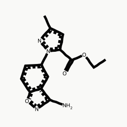 CCOC(=O)c1cc(C)nn1-c1ccc2onc(N)c2c1